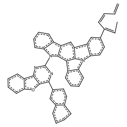 C=C/C=C\C(=C/C)c1ccc2c(c1)c1cc3c4ccccc4n(-c4nc(-c5ccc6ccccc6c5)c5oc6ccccc6c5n4)c3c3c4ccccc4n2c13